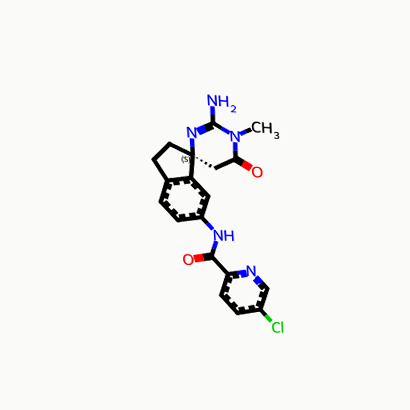 CN1C(=O)C[C@]2(CCc3ccc(NC(=O)c4ccc(Cl)cn4)cc32)N=C1N